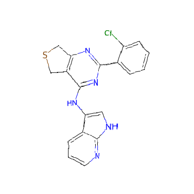 Clc1ccccc1-c1nc2c(c(Nc3c[nH]c4ncccc34)n1)CSC2